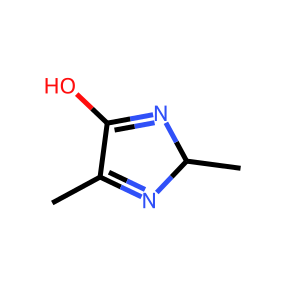 CC1=NC(C)N=C1O